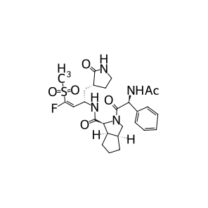 CC(=O)N[C@H](C(=O)N1C[C@H]2CCC[C@H]2[C@H]1C(=O)N[C@H](/C=C(/F)S(C)(=O)=O)C[C@H]1CCNC1=O)c1ccccc1